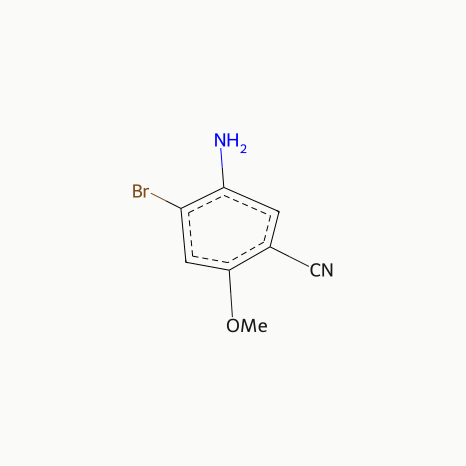 COc1cc(Br)c(N)cc1C#N